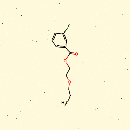 CCCOCCOC(=O)c1cccc(Cl)c1